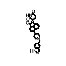 O=C1CCC(N2C(=O)c3ccc(C4CCN(Cc5ccc6[nH]ncc6c5)CC4)c4cccc2c34)C(=O)N1